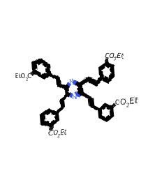 CCOC(=O)c1cccc(C=Cc2nc(C=Cc3cccc(C(=O)OCC)c3)c(C=Cc3cccc(C(=O)OCC)c3)nc2C=Cc2cccc(C(=O)OCC)c2)c1